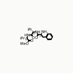 COC(=O)[C@@H](NC(=O)[C@@H](NC(=O)[C@@H](N)Cc1ccccc1)C(C)C)C(C)C